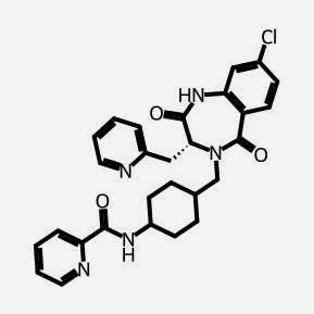 O=C(NC1CCC(CN2C(=O)c3ccc(Cl)cc3NC(=O)[C@H]2Cc2ccccn2)CC1)c1ccccn1